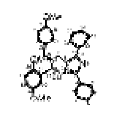 CCCCn1c(-c2ccccc2)nc(-c2ccccc2)c1CN(Cc1ccc(OC)cc1)Cc1cc(OC)ccc1OC